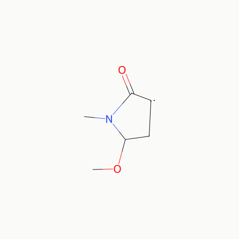 COC1C[CH]C(=O)N1C